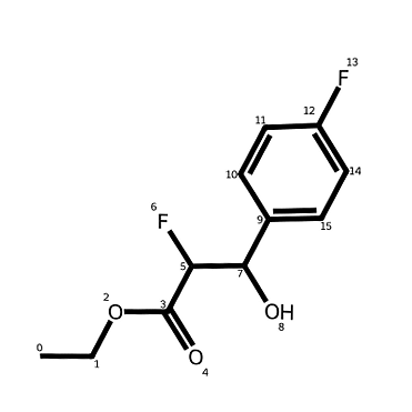 CCOC(=O)C(F)C(O)c1ccc(F)cc1